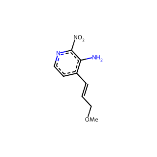 COCC=Cc1ccnc([N+](=O)[O-])c1N